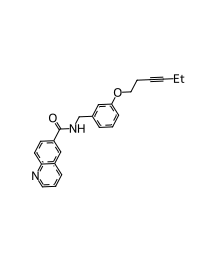 CCC#CCCOc1cccc(CNC(=O)c2ccc3ncccc3c2)c1